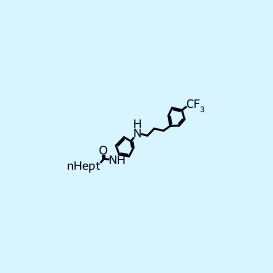 CCCCCCCC(=O)Nc1ccc(NCCCc2ccc(C(F)(F)F)cc2)cc1